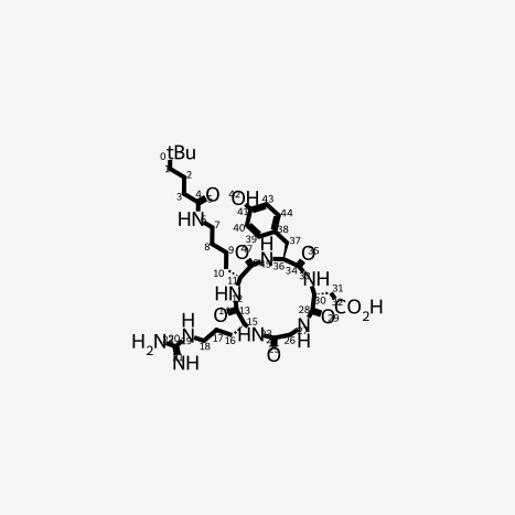 CC(C)(C)CCCC(=O)NCCCC[C@H]1NC(=O)[C@@H](CCCNC(=N)N)NC(=O)CNC(=O)[C@@H](CC(=O)O)NC(=O)[C@H](Cc2ccc(O)cc2)NC1=O